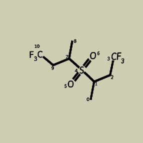 CC(CC(F)(F)F)S(=O)(=O)C(C)CC(F)(F)F